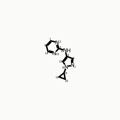 c1cnc(Nc2cnn(C3CC3)c2)nc1